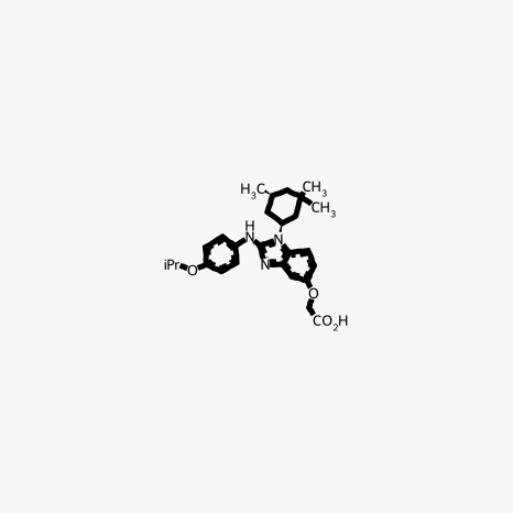 CC(C)Oc1ccc(Nc2nc3cc(OCC(=O)O)ccc3n2[C@@H]2C[C@H](C)CC(C)(C)C2)cc1